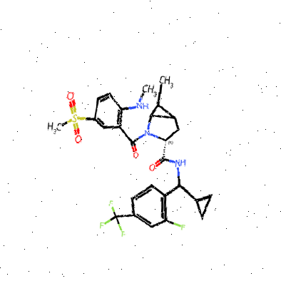 CNc1ccc(S(C)(=O)=O)cc1C(=O)N1C2C(C)C2C[C@@H]1C(=O)NC(c1ccc(C(F)(F)F)cc1F)C1CC1